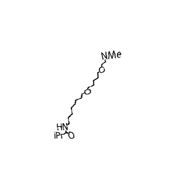 CNCCOCCCCCOCCCCCCCCNC(=O)C(C)C